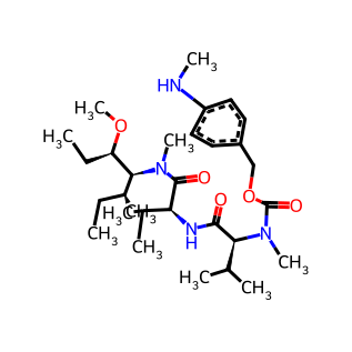 CC[C@H](C)[C@@H]([C@@H](CC)OC)N(C)C(=O)[C@@H](NC(=O)[C@H](C(C)C)N(C)C(=O)OCc1ccc(NC)cc1)C(C)C